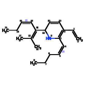 C=CC1=C(/C=C\CCC)NC(C(/C=C\CC)=C(C)C)C=C1